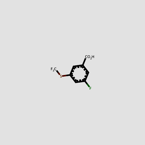 O=C(O)c1cc(F)cc(SC(F)(F)F)c1